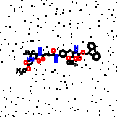 COC(=O)CNC(=O)C(C)NC(=O)CCC(=O)Nc1ccc(C[C@H](NC(=O)OCC2c3ccccc3-c3ccccc32)C(=O)OC)cc1